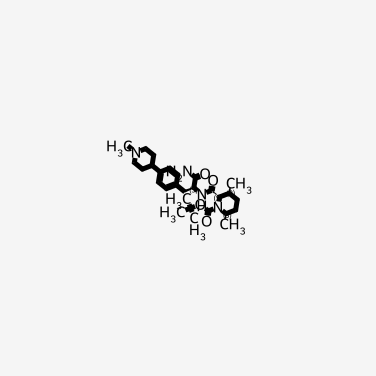 C[C@@H]1CC[C@H](C)N(C(=O)OC(C)(C)C)[C@@H]1C(=O)N[C@@H](Cc1ccc(C2CCN(C)CC2)cc1)C(N)=O